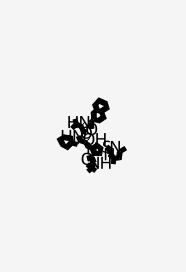 Cc1cc(C)nc(S[C@@H]2C[C@@H](C(=O)NC(C)(C)C)N(C[C@@H](O)[C@H](Cc3ccccc3)NC(=O)[C@@H](NC(=O)c3ccc4ccccc4c3)C(C)C)C2)n1